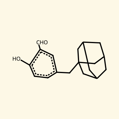 O=Cc1cc(CC23CC4CC(CC(C4)C2)C3)ccc1O